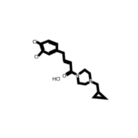 Cl.O=C(C=CCc1ccc(Cl)c(Cl)c1)N1CCN(CC2CC2)CC1